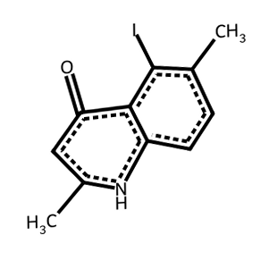 Cc1cc(=O)c2c(I)c(C)ccc2[nH]1